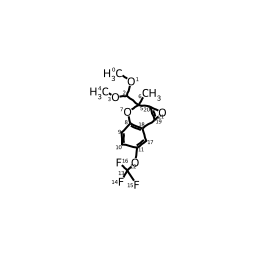 COC(OC)C1(C)Oc2ccc(OC(F)(F)F)cc2C2=C1O2